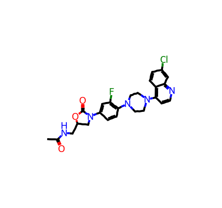 CC(=O)NCC1CN(c2ccc(N3CCN(c4ccnc5cc(Cl)ccc45)CC3)c(F)c2)C(=O)O1